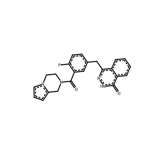 O=C(c1cc(Cc2n[nH]c(=O)c3ccccc23)ccc1F)N1CCn2cccc2C1